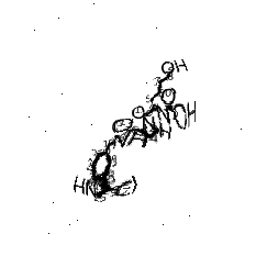 O=C(O)N[C@H](CCCCO)C(=O)N1CC[C@H]1C(=O)NCc1ccc2[nH]cc(Cl)c2c1